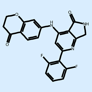 O=C1CCOc2cc(Nc3cc(-c4c(F)cccc4F)nc4c3C(=O)NC4)ccc21